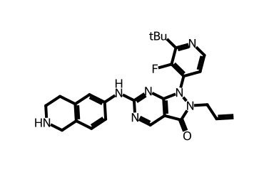 C=CCn1c(=O)c2cnc(Nc3ccc4c(c3)CCNC4)nc2n1-c1ccnc(C(C)(C)C)c1F